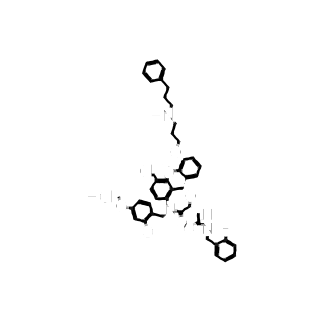 COc1ccc(CN2C(=O)[C@@H](CC(=O)NCc3ccccc3F)O[C@H](c3cccc(OCCCNCCCc4ccccc4)c3OC)c3cc(Cl)ccc32)c(OC)c1.Cl